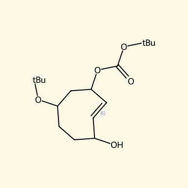 CC(C)(C)OC(=O)OC1/C=C/C(O)CCC(OC(C)(C)C)C1